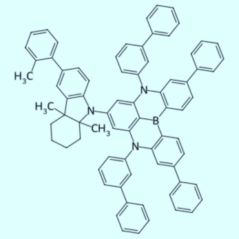 Cc1ccccc1-c1ccc2c(c1)C1(C)CCCCC1(C)N2c1cc2c3c(c1)N(c1cccc(-c4ccccc4)c1)c1cc(-c4ccccc4)ccc1B3c1ccc(-c3ccccc3)cc1N2c1cccc(-c2ccccc2)c1